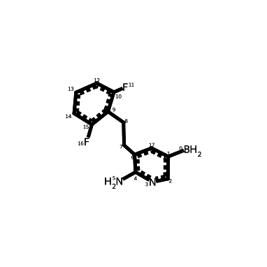 Bc1cnc(N)c(CCc2c(F)cccc2F)c1